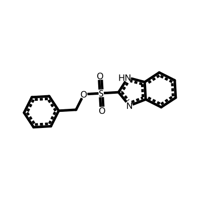 O=S(=O)(OCc1ccccc1)c1nc2ccccc2[nH]1